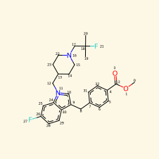 COC(=O)c1ccc(Cc2cn(CC3CCN(CC(C)(C)F)CC3)c3cc(F)ccc23)cc1